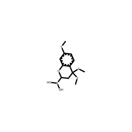 CSc1ccc2c(c1)OC(B(O)O)CC2(SC)SC